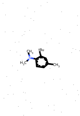 Cc1ccc(N(C)C)c(C(C)(C)C)c1